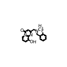 CN(Cc1cc(=O)n2cccc(O)c2n1)Cc1ccccc1F